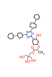 CC(Oc1ccc(-c2nc(-c3ccc(-c4ccccc4)cc3)nc(-c3ccc(-c4ccccc4)cc3)n2)c(O)c1)C(=O)OCC(CO)(CO)CO